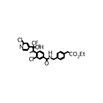 CCOC(=O)Cc1ccc(CNC(=O)c2ccc([C@@H](C)[C@@](O)(c3ccnc(Cl)c3)C(F)(F)F)c(Cl)c2)cc1